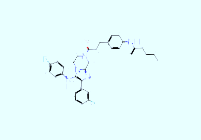 C=C(CCCC)NC1C=CC(CCC(=O)N2CCn3c(nc(-c4cccc(F)c4)c3Nc3ccc(F)cc3)C2)=CC1